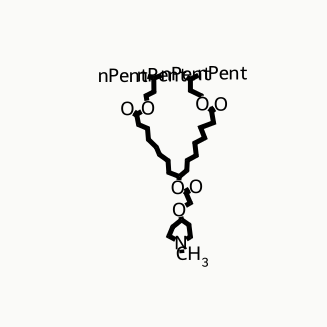 CCCCCC(CCCCC)CCOC(=O)CCCCCCCC(CCCCCCCC(=O)OCCC(CCCCC)CCCCC)OC(=O)COC1CCN(C)CC1